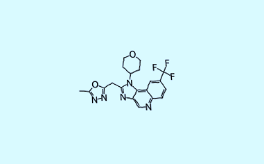 Cc1nnc(Cc2nc3cnc4ccc(C(F)(F)F)cc4c3n2C2CCOCC2)o1